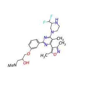 CNCC(O)COc1cccc(-c2nc(-c3c(C)noc3C)c(C)c(N3CCNC(C(F)F)C3)n2)c1